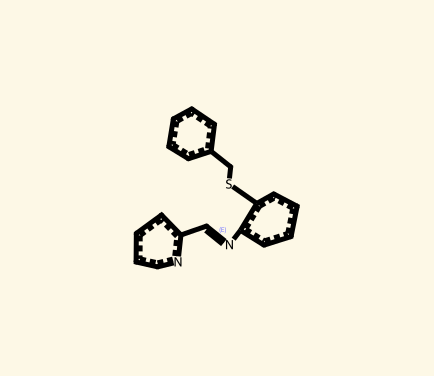 C(=N\c1ccccc1SCc1ccccc1)/c1ccccn1